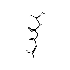 CC(C)NC(=O)CC(=O)C=C(Cl)Cl